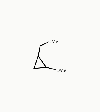 CO[CH]C1CC1OC